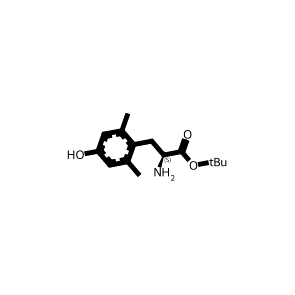 Cc1cc(O)cc(C)c1C[C@H](N)C(=O)OC(C)(C)C